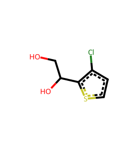 OCC(O)c1sccc1Cl